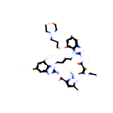 CCc1nc(C)sc1C(=O)Nc1nc2cc(C(=O)O)cc(OCCCN3CCOCC3)c2n1C/C=C/Cn1c(NC(=O)c2cc(C)nn2CC)nc2cc(C(=O)O)cc(SC)c21